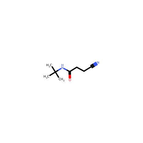 CC(C)(C)NC(=O)CCC#N